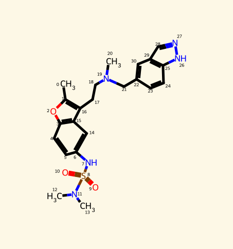 Cc1oc2ccc(NS(=O)(=O)N(C)C)cc2c1CCN(C)Cc1ccc2[nH]ncc2c1